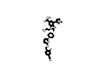 COCCn1c(C[C@H]2CC[C@H](c3cccc(OCc4ccc(C#N)cc4F)n3)CC2)nc2c(-c3ccn(C)n3)cc(C(=O)O)cc21